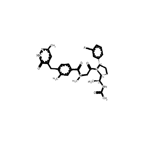 CC(=O)N[C@@H](C)[C@H]1CC[C@@H](c2cccc(F)c2)N1C(=O)CN(C)C(=O)c1ccc(Cc2cc(C)n[nH]c2=O)c(C)c1